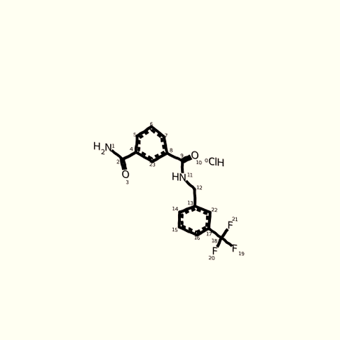 Cl.NC(=O)c1cccc(C(=O)NCc2cccc(C(F)(F)F)c2)c1